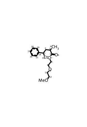 CCC(CC(C)C(=O)OCCOCCOC)c1ccccc1